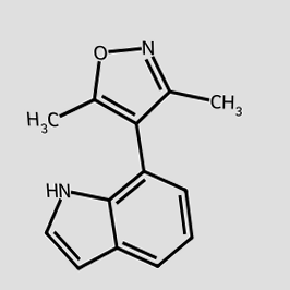 Cc1noc(C)c1-c1cccc2cc[nH]c12